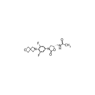 CC(=O)NC[C@H]1CN(c2cc(F)c(N3CC4(COC4)C3)c(F)c2)C(=O)O1